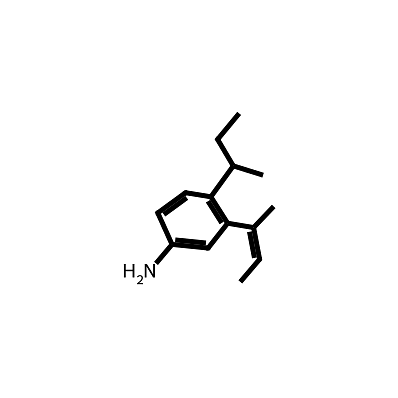 C/C=C(/C)c1cc(N)ccc1C(C)CC